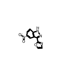 O=[N+]([O-])c1ccc2[nH]nc(-c3ncco3)c2c1